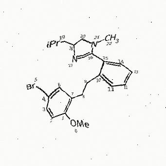 COc1ccc(Br)cc1CCc1ccccc1C1=NC(C(C)C)CN1C